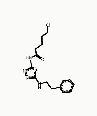 O=C(CCCCCl)Nc1nnc(NCCc2ccccc2)s1